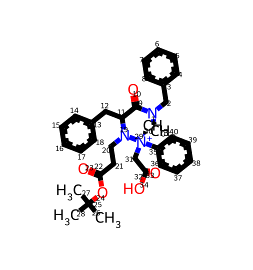 CN(Cc1ccccc1)C(=O)C(Cc1ccccc1)N(CCC(=O)OC(C)(C)C)[N@@+](C)(CC(=O)O)c1ccccc1